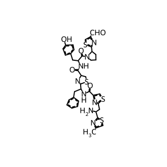 Cc1csc(C(N)Cc2nc(C(=O)NC(Cc3ccccc3)C3=NC(C(=O)NC(Cc4ccc(O)cc4)C(=O)N4CCCC4c4nc(C=O)cs4)CS3)cs2)n1